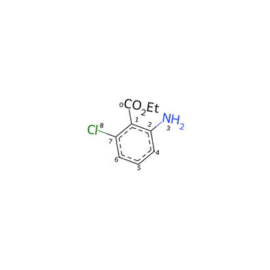 CCOC(=O)c1c(N)cccc1Cl